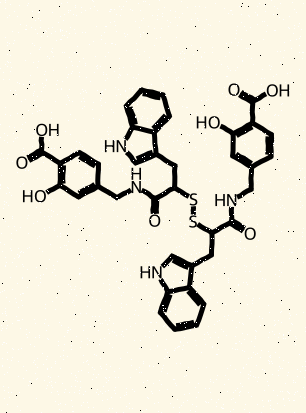 O=C(O)c1ccc(CNC(=O)C(Cc2c[nH]c3ccccc23)SSC(Cc2c[nH]c3ccccc23)C(=O)NCc2ccc(C(=O)O)c(O)c2)cc1O